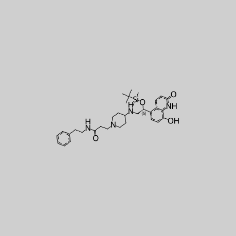 CC(C)(C)[Si](C)(C)O[C@H](CNC1CCN(CCC(=O)NCCc2ccccc2)CC1)c1ccc(O)c2[nH]c(=O)ccc12